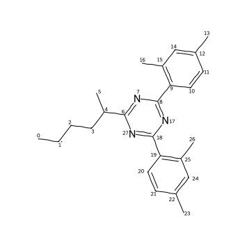 C[CH]CCC(C)c1nc(-c2ccc(C)cc2C)nc(-c2ccc(C)cc2C)n1